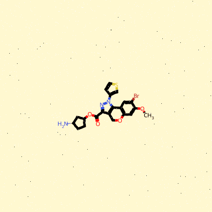 COc1cc2c(cc1Br)-c1c(c(C(=O)OC3CC[C@H](N)C3)nn1-c1ccsc1)CO2